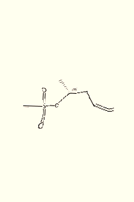 C=CC[C@@H](C)OS(C)(=O)=O